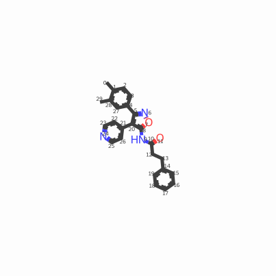 Cc1ccc(-c2noc(NC(=O)CCc3ccccc3)c2-c2ccncc2)cc1C